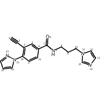 C#Cc1cc(C(=O)NCCCn2ccnc2)ccc1-n1cccn1